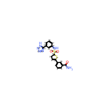 NC(=O)c1cccc(C2=CCC(S(=O)(=O)Nc3cccc(-c4nnn[nH]4)c3)S2)c1